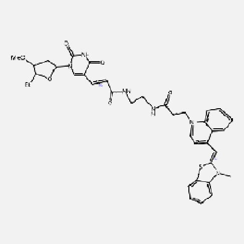 CCC1OC(n2cc(/C=C/C(=O)NCCNC(=O)CC[n+]3ccc(/C=C4\Sc5ccccc5N4C)c4ccccc43)c(=O)[nH]c2=O)CC1OC